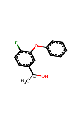 C[C@@H](O)c1ccc(F)c(Oc2ccccc2)c1